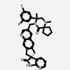 CN1CC(C)(c2cc(F)cc(F)c2)N(Cc2cnc3cc4c(cc3c2)C[C@@]2(C4)C(=O)Nc3ncccc32)C(=O)C12CCCC2